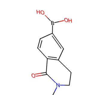 CN1CCc2cc(B(O)O)ccc2C1=O